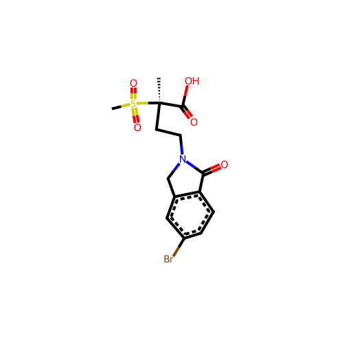 C[C@@](CCN1Cc2cc(Br)ccc2C1=O)(C(=O)O)S(C)(=O)=O